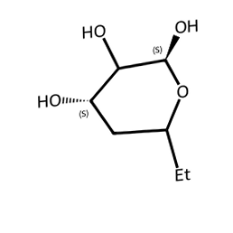 CCC1C[C@H](O)C(O)[C@@H](O)O1